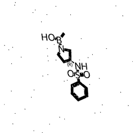 CB(O)N1CC[C@@H](NS(=O)(=O)c2ccccc2)C1